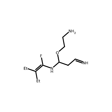 CCC(CC)=C(F)NC(CC=N)OCCN